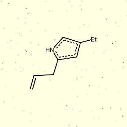 [CH2]Cc1c[nH]c(CC=C)c1